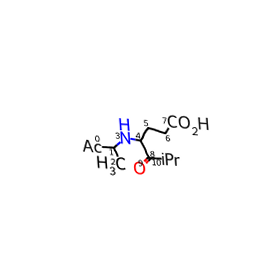 CC(=O)C(C)NC(CCC(=O)O)C(=O)C(C)C